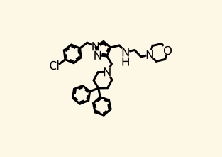 Clc1ccc(Cn2cc(CNCCN3CCOCC3)c(CN3CCC(c4ccccc4)(c4ccccc4)CC3)n2)cc1